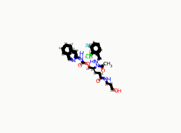 CC(=O)N(NCc1cccc(F)c1Cl)[C@@H](CCC(=O)NCCCO)COC(=O)Nc1cc2ccccc2cn1